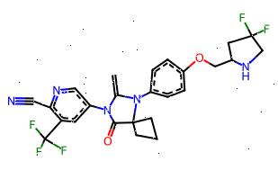 C=C1N(c2cnc(C#N)c(C(F)(F)F)c2)C(=O)C2(CCC2)N1c1ccc(OCC2CC(F)(F)CN2)cc1